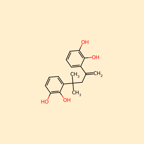 C=C(CC(C)(C)c1cccc(O)c1O)c1cccc(O)c1O